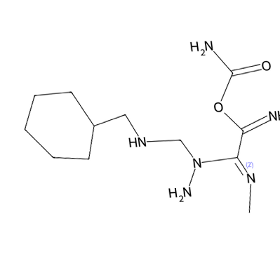 C/N=C(/C(=N)OC(N)=O)N(N)CNCC1CCCCC1